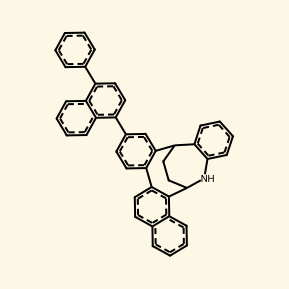 c1ccc(-c2ccc(-c3ccc4c(c3)C3CCC(Nc5ccccc53)c3c-4ccc4ccccc34)c3ccccc23)cc1